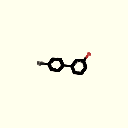 FC(F)(F)c1ccc(-c2cccc(Br)c2)cc1